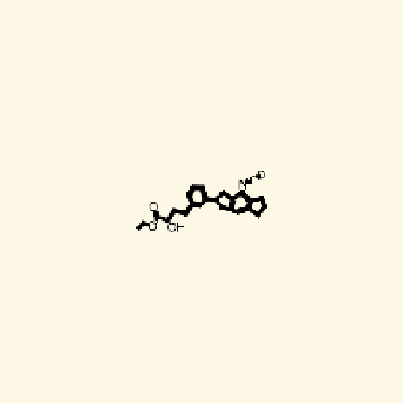 CCOC(=O)[C@H](O)CCc1cccc(C2Cc3cc4c(c(N=C=O)c3C2)CCC4)c1